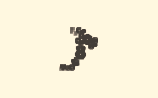 COC1CN(c2ccc3c(c2)CN(C(=O)c2cc(S(C)(=O)=O)ccc2O[C@@H](C)C(F)(F)F)C3)C1